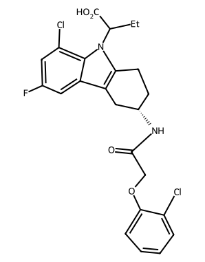 CCC(C(=O)O)n1c2c(c3cc(F)cc(Cl)c31)C[C@@H](NC(=O)COc1ccccc1Cl)CC2